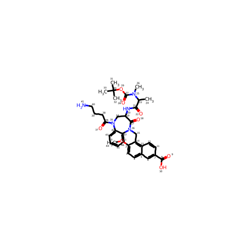 COc1ccc2cc(C(=O)O)ccc2c1CN1C(=O)C(NC(=O)C(C)N(C)C(=O)OC(C)(C)C)CN(C(=O)CCCN)c2ccccc21